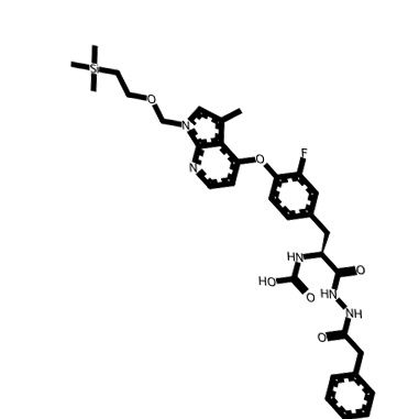 Cc1cn(COCC[Si](C)(C)C)c2nccc(Oc3ccc(C[C@H](NC(=O)O)C(=O)NNC(=O)Cc4ccccc4)cc3F)c12